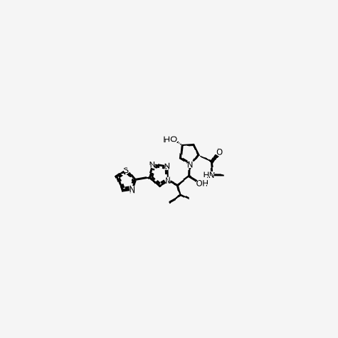 CNC(=O)[C@@H]1C[C@@H](O)CN1C(O)C(C(C)C)n1cc(-c2nccs2)nn1